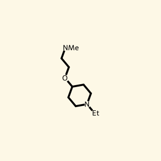 CCN1CCC(OCCNC)CC1